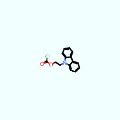 O=C(Cl)OCCn1c2ccccc2c2ccccc21